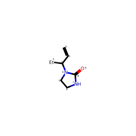 C=CC(CC)N1CCNC1=O